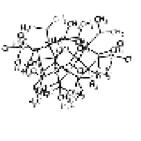 CCCC(N)(C[Si](Cl)(Cl)Cl)C(OC(C(N)(CCC)C[Si](Cl)(Cl)Cl)([Si](C(C)C)(C(C)C)C(C)C)[Si](C(C)C)(C(C)C)C(C)C)([Si](C(C)C)(C(C)C)C(C)C)[Si](C(C)C)(C(C)C)C(C)C